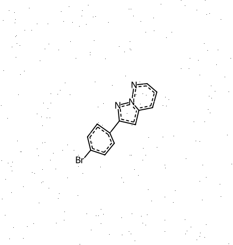 Brc1ccc(-c2cc3cccnn3n2)cc1